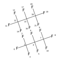 FC(F)(F)C(F)(F)C(F)(F)F.FC(F)(F)C(F)(F)C(F)(F)F